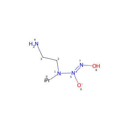 CC(C)N(CCN)/[N+]([O-])=N/O